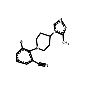 Cc1nncn1C1CCN(c2c(Br)cccc2C#N)CC1